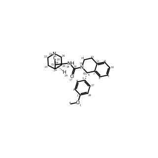 COc1ccc([C@H]2c3ccccc3CCN2C(=O)N[C@@H]2CN3CCC2CC3)cc1